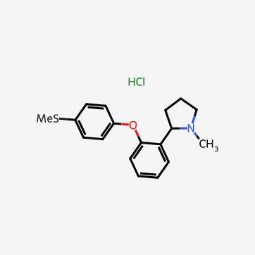 CSc1ccc(Oc2ccccc2C2CCCN2C)cc1.Cl